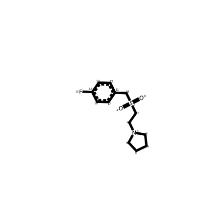 O=S(=O)(CCN1CCCC1)Cc1ccc(F)cc1